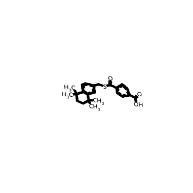 CC1(C)CCC(C)(C)c2cc(CSC(=O)c3ccc(C(=O)O)cc3)ccc21